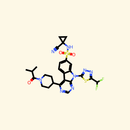 CC(C)C(=O)N1CCC(c2ncnc3c2c2ccc(S(=O)(=O)NC4(C#N)CC4)cc2n3-c2nnc(C(F)F)s2)CC1